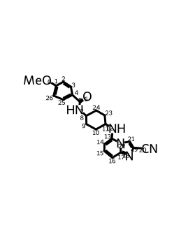 COc1ccc(C(=O)NC2CCC(Nc3cccc4nc(C#N)cn34)CC2)cc1